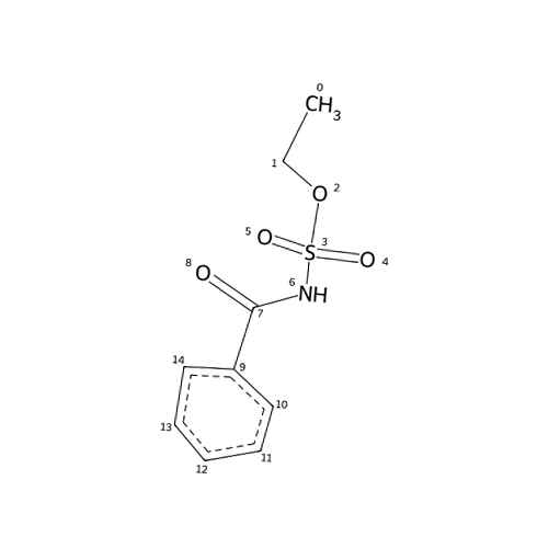 CCOS(=O)(=O)NC(=O)c1ccccc1